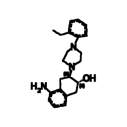 CCc1ccccc1N1CCN([C@@H]2Cc3c(N)cccc3C[C@H]2O)CC1